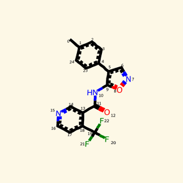 Cc1ccc(-c2cnoc2NC(=O)c2cnccc2C(F)(F)F)cc1